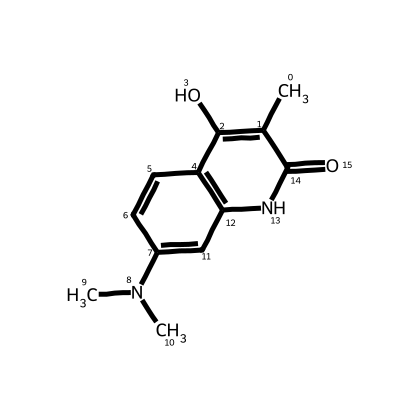 Cc1c(O)c2ccc(N(C)C)cc2[nH]c1=O